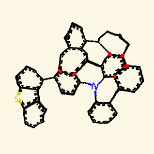 c1ccc(-c2ccccc2N(c2ccc(-c3cccc4sc5ccccc5c34)cc2)c2ccccc2-c2cccc3cccc(C4CCCCC4)c23)cc1